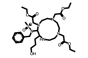 CCOC(=O)CN1CCNC(CCCO)C(N(Cc2ccccc2)S(C)(=O)=O)N(CC(=O)OCC)CCN(CC(=O)OCC)CC1